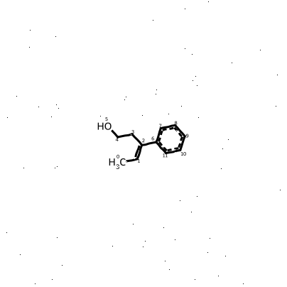 CC=C(CCO)c1ccccc1